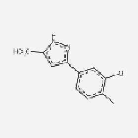 Cc1ccc(-c2cc(C(=O)O)[nH]n2)cc1Cl